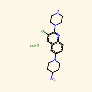 Cl.Cl.NC1CCN(c2ccc3nc(N4CCNCC4)c(Cl)cc3c2)CC1